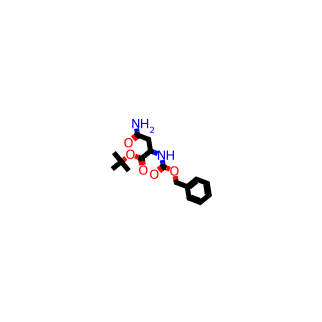 CC(C)(C)OC(=O)C(CC(N)=O)NC(=O)OCc1ccccc1